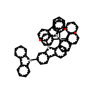 c1ccc(-c2ccccc2-n2c3ccccc3c3cccc(-n4c5cc(-n6c7ccccc7c7ccccc76)ccc5c5cccc([Si](c6ccccc6)(c6ccccc6)c6ccccc6)c54)c32)cc1